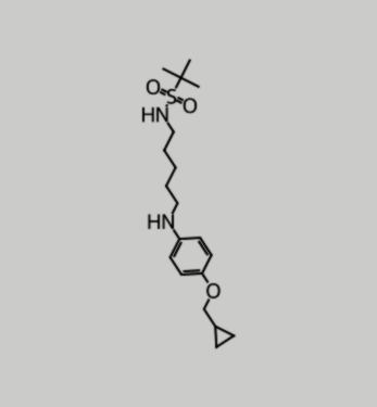 CC(C)(C)S(=O)(=O)NCCCCCNc1ccc(OCC2CC2)cc1